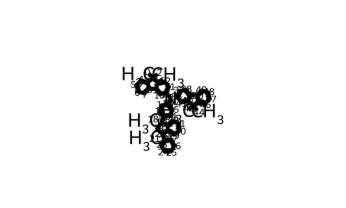 CC1(C)c2ccccc2-c2cc(N(c3ccc(C4(C)CC(C)(c5ccccc5)c5ccccc54)cc3)c3ccc4c(c3)C(C)(C)c3ccccc3-4)ccc21